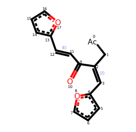 CC(=O)C/C(=C/c1ccco1)C(=O)/C=C/c1ccco1